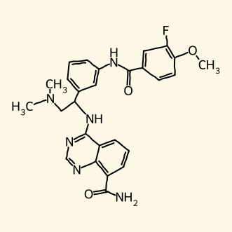 COc1ccc(C(=O)Nc2cccc(C(CN(C)C)Nc3ncnc4c(C(N)=O)cccc34)c2)cc1F